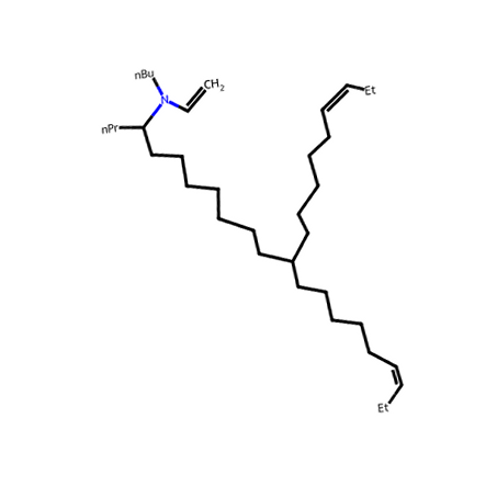 C=CN(CCCC)C(CCC)CCCCCCCC(CCCCC/C=C\CC)CCCCC/C=C\CC